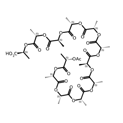 CC(=O)O[C@@H](C)C(=O)O[C@@H](C)C(=O)O[C@@H](C)C(=O)O[C@@H](C)C(=O)O[C@@H](C)C(=O)O[C@@H](C)C(=O)O[C@@H](C)C(=O)O[C@@H](C)C(=O)O[C@@H](C)C(=O)O[C@@H](C)C(=O)O[C@@H](C)C(=O)O[C@@H](C)C(=O)O